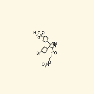 CS(=O)(=O)c1ccc(-c2[nH]nc(C(=O)CCCO[N+](=O)[O-])c2-c2ccc(Br)cc2)cc1